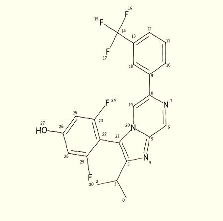 CC(C)c1nc2cnc(-c3cccc(C(F)(F)F)c3)cn2c1-c1c(F)cc(O)cc1F